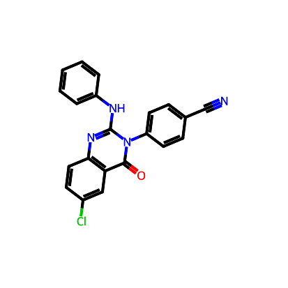 N#Cc1ccc(-n2c(Nc3ccccc3)nc3ccc(Cl)cc3c2=O)cc1